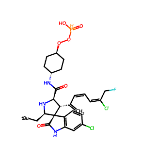 C=C(/C=C\C=C(\Cl)CF)[C@H]1[C@H](C(=O)N[C@H]2CC[C@H](OO[PH](=O)O)CC2)N[C@H](CC(C)(C)C)[C@]12C(=O)Nc1cc(Cl)ccc12